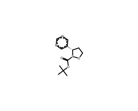 CC(C)(C)OC(=O)N1OCC[C@H]1c1cncnc1